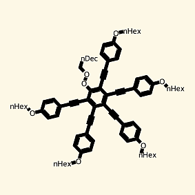 CCCCCCCCCCCOOc1c(C#Cc2ccc(OCCCCCC)cc2)c(C#Cc2ccc(OCCCCCC)cc2)c(C#Cc2ccc(OCCCCCC)cc2)c(C#Cc2ccc(OCCCCCC)cc2)c1C#Cc1ccc(OCCCCCC)cc1